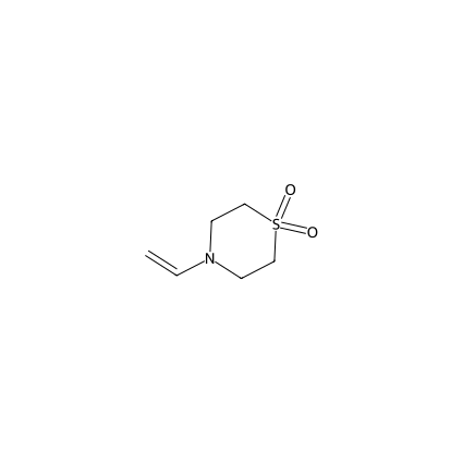 C=CN1CCS(=O)(=O)CC1